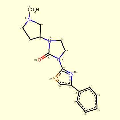 O=C(O)N1CCC(N2CCN(c3nc(-c4ccccc4)cs3)C2=O)C1